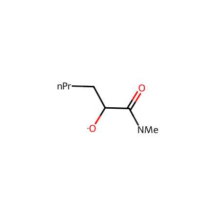 CCCCC([O])C(=O)NC